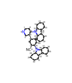 N#Cc1cc(-c2cnccc2-n2c3ccccc3c3ccccc32)ccc1-n1c2ccccc2c2ccccc21